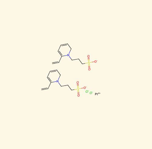 C=CC1=CC=CCN1CCCS(=O)(=O)[O-].C=CC1=CC=CCN1CCCS(=O)(=O)[O-].[Cl-].[Cl-].[Pt+4]